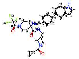 O=C(C1CC1)N1CC(CN2C(=O)C3(CCN(C(=O)C(F)(F)F)CC3)N=C2c2ccc(-c3ccc4[nH]ccc4c3)cc2)C1